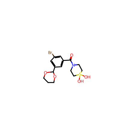 O=C(c1cc(Br)cc(C2OCCCO2)c1)N1CCS(O)(O)CC1